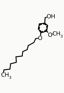 CCCCCCCCCCCCOc1ccc(CO)cc1OC